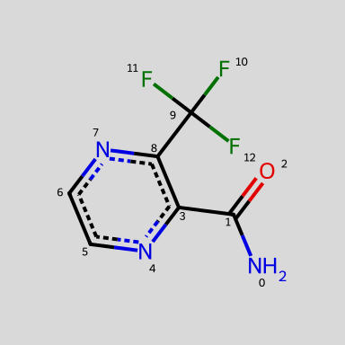 NC(=O)c1nccnc1C(F)(F)F